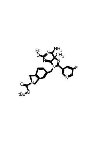 CCOC1=NC(N)C2(C)N=C(c3cncc(F)c3)N(Cc3ccc4c(c3)CN(C(=O)OC(C)(C)C)C4)C2=N1